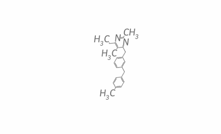 CCc1nc(C)nc(Cc2cccc(Cc3ccc(C)cc3)c2)c1C